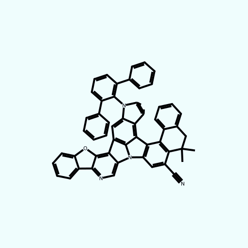 CC1(C)Cc2ccccc2-c2c1c(C#N)cc1c2c2c3c4ccccc4n(-c4c(-c5ccccc5)cccc4-c4ccccc4)c3cc3c4c5oc6ccccc6c5ncc4n1c32